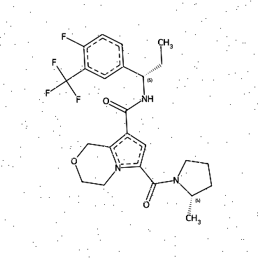 CC[C@H](NC(=O)c1cc(C(=O)N2CCC[C@@H]2C)n2c1COCC2)c1ccc(F)c(C(F)(F)F)c1